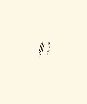 C#N.[B].[Li]